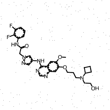 COc1cc2c(Nc3cnn(CC(=O)Nc4cccc(F)c4F)c3)ncnc2cc1OCCCN(CCO)C1CCC1